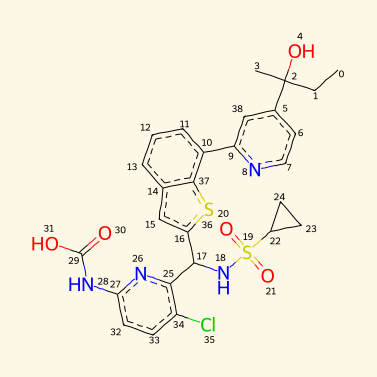 CCC(C)(O)c1ccnc(-c2cccc3cc(C(NS(=O)(=O)C4CC4)c4nc(NC(=O)O)ccc4Cl)sc23)c1